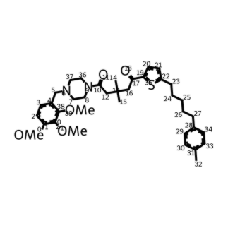 COc1ccc(CN2CCN(C(=O)CC(C)(C)CC(=O)c3ccc(CCCCCc4ccc(C)cc4)s3)CC2)c(OC)c1OC